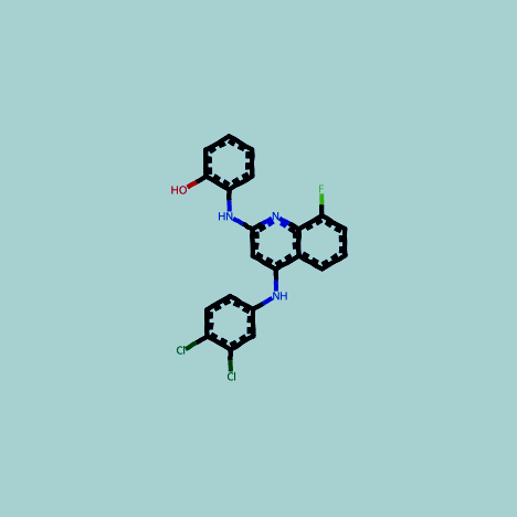 Oc1ccccc1Nc1cc(Nc2ccc(Cl)c(Cl)c2)c2cccc(F)c2n1